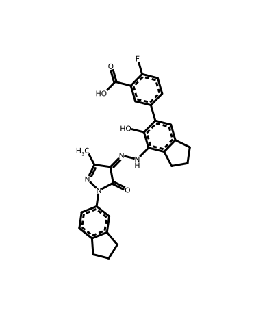 CC1=NN(c2ccc3c(c2)CCC3)C(=O)/C1=N\Nc1c(O)c(-c2ccc(F)c(C(=O)O)c2)cc2c1CCC2